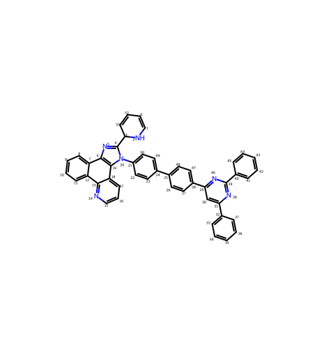 C1=CNC(c2nc3c4ccccc4c4ncccc4c3n2-c2ccc(-c3ccc(-c4cc(-c5ccccc5)nc(-c5ccccc5)n4)cc3)cc2)C=C1